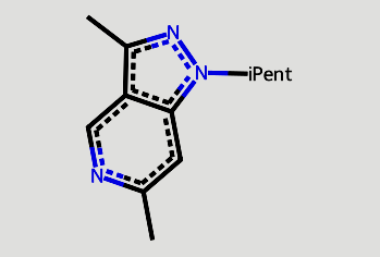 CCCC(C)n1nc(C)c2cnc(C)cc21